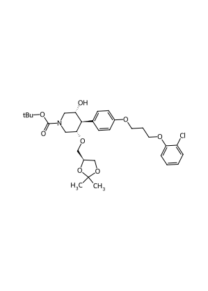 CC(C)(C)OC(=O)N1C[C@H](O)[C@@H](c2ccc(OCCCOc3ccccc3Cl)cc2)[C@H](OC[C@H]2COC(C)(C)O2)C1